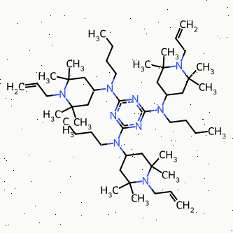 C=CCN1C(C)(C)CC(N(CCCC)c2nc(N(CCCC)C3CC(C)(C)N(CC=C)C(C)(C)C3)nc(N(CCCC)C3CC(C)(C)N(CC=C)C(C)(C)C3)n2)CC1(C)C